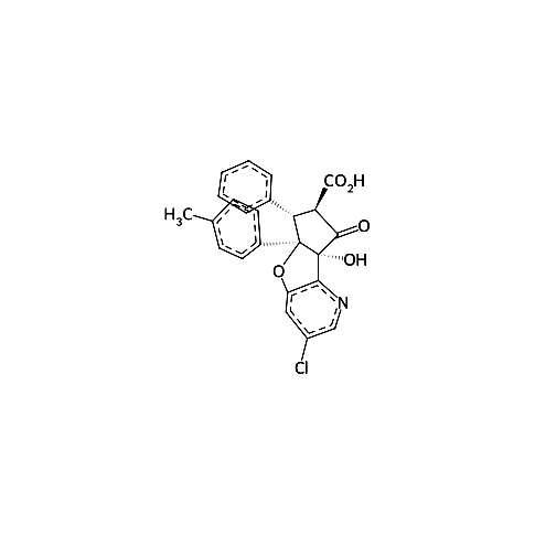 Cc1ccc([C@@]23Oc4cc(Cl)cnc4[C@]2(O)C(=O)[C@H](C(=O)O)[C@H]3c2ccccc2)cc1